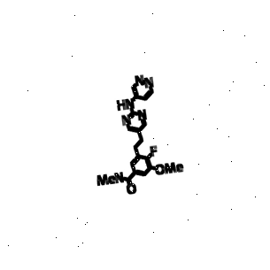 CNC(=O)c1cc(CCc2cnc(Nc3ccnnc3)nc2)c(F)c(OC)c1